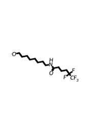 [O]CCCCCCCCNC(=O)CCCC(F)(F)C(F)(F)F